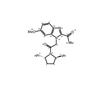 CCC[C@H]1CC[C@H](CCC)N1C(=O)Cn1c(C(=O)C(C)(C)C)nc2ccc(OC)cc21